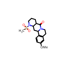 COc1ccc2c(c1)CCN1C(=O)C3CCCN(S(C)(=O)=O)C3CC21